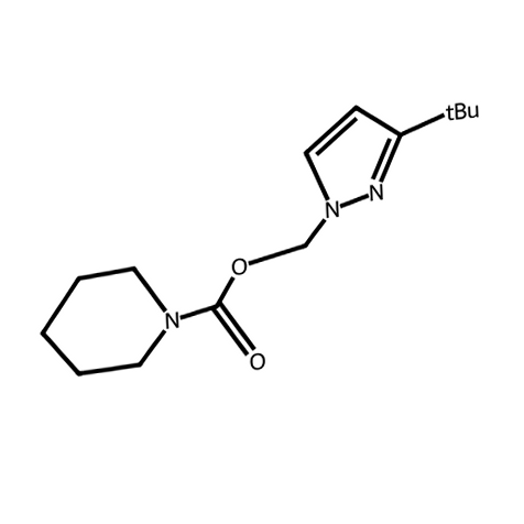 CC(C)(C)c1ccn(COC(=O)N2CCCCC2)n1